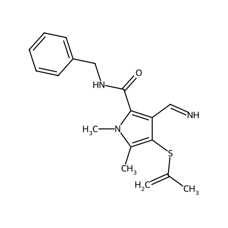 C=C(C)Sc1c(C=N)c(C(=O)NCc2ccccc2)n(C)c1C